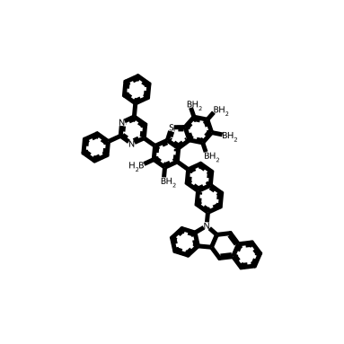 Bc1c(B)c(B)c2c(sc3c(-c4cc(-c5ccccc5)nc(-c5ccccc5)n4)c(B)c(B)c(-c4ccc5ccc(N6c7ccccc7C7C=c8ccccc8=CC76)cc5c4)c32)c1B